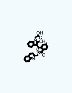 Cc1c(-c2nn(Cc3ccc4ccccc4n3)c(=O)c3ccccc23)c2ccccc2n1CC(=O)O